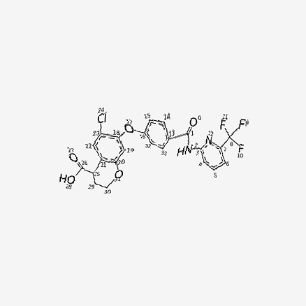 O=C(Nc1cccc(C(F)(F)F)n1)c1ccc(Oc2cc3c(cc2Cl)C(C(=O)O)CCO3)cc1